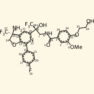 COc1cc(C(=O)NC[C@@](O)(c2cc3c(c(-c4ccc(F)cc4)n2)OC[C@]3(N)C(F)(F)F)C(F)(F)F)ccc1OCCO